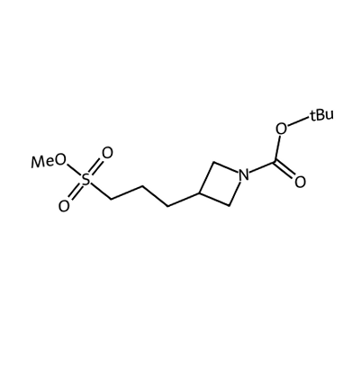 COS(=O)(=O)CCCC1CN(C(=O)OC(C)(C)C)C1